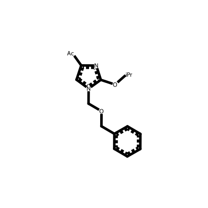 CC(=O)c1cn(COCc2ccccc2)c(OC(C)C)n1